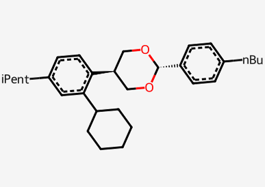 CCCCc1ccc([C@H]2OC[C@H](c3ccc(C(C)CCC)cc3C3CCCCC3)CO2)cc1